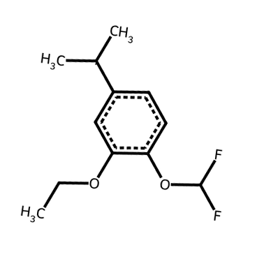 CCOc1cc([C](C)C)ccc1OC(F)F